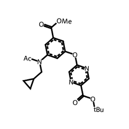 COC(=O)c1cc(Oc2cnc(C(=O)OC(C)(C)C)cn2)cc(N(CC2CC2)C(C)=O)c1